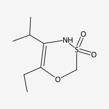 CCC1=C(C(C)C)NS(=O)(=O)CO1